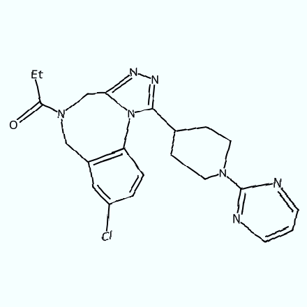 CCC(=O)N1Cc2cc(Cl)ccc2-n2c(nnc2C2CCN(c3ncccn3)CC2)C1